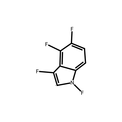 Fc1ccc2c(c(F)[c]n2F)c1F